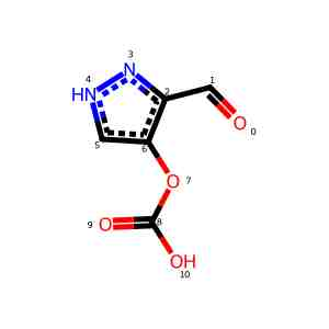 O=Cc1n[nH]cc1OC(=O)O